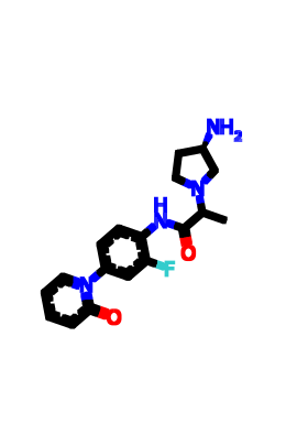 CC(C(=O)Nc1ccc(-n2ccccc2=O)cc1F)N1CC[C@@H](N)C1